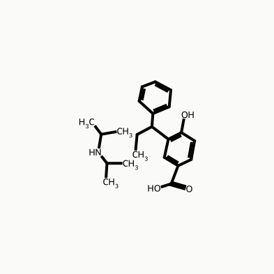 CC(C)NC(C)C.CCC(c1ccccc1)c1cc(C(=O)O)ccc1O